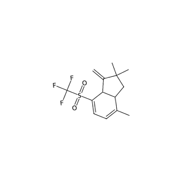 C=C1C2C(S(=O)(=O)C(F)(F)F)=CC=C(C)C2CC1(C)C